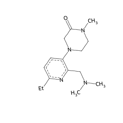 CCc1ccc(N2CCN(C)C(=O)C2)c(CN(C)C)n1